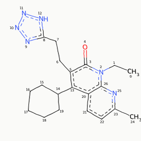 CCn1c(=O)c(CCc2nnn[nH]2)c(C2CCCCC2)c2ccc(C)nc21